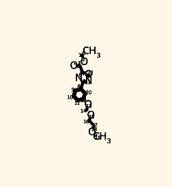 CCOC(=O)c1nc(-c2cccc(OCOCCOC)c2)no1